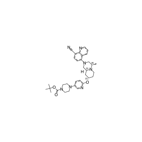 C[C@@H]1CN(c2ccc(C#N)c3ncccc23)C[C@@H]2C[C@@H](Oc3ccc(N4CCN(C(=O)OC(C)(C)C)CC4)cn3)CCN21